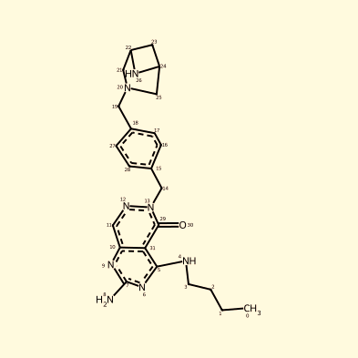 CCCCNc1nc(N)nc2cnn(Cc3ccc(CN4CC5CC(C4)N5)cc3)c(=O)c12